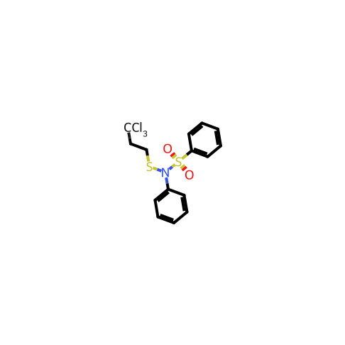 O=S(=O)(c1ccccc1)N(SCCC(Cl)(Cl)Cl)c1ccccc1